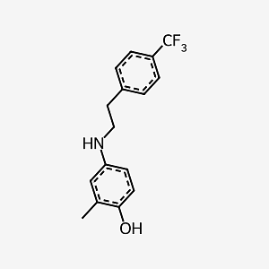 Cc1cc(NCCc2ccc(C(F)(F)F)cc2)ccc1O